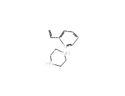 C1CNCCN1.C=Cc1ccccn1